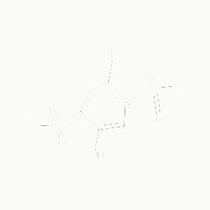 O=S(=O)(O)c1cc(P)c(S(=O)(=O)O)cc1P